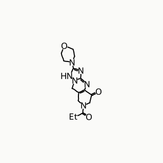 CCC(=O)N1CC(=O)C2=C(C1)CN1NC(N3CCOCC3)=NC1=N2